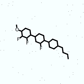 CCCCC1CCC(C2CCC(C3CCC(OC)C(F)C3F)CC2F)CC1